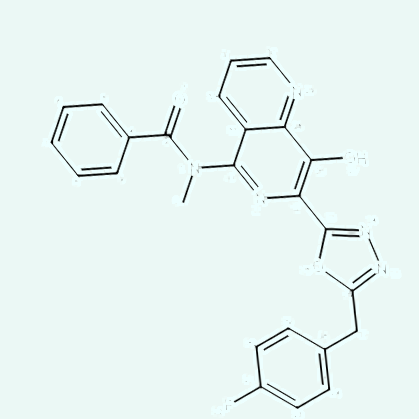 CN(C(=O)c1ccccc1)c1nc(-c2nnc(Cc3ccc(F)cc3)o2)c(O)c2ncccc12